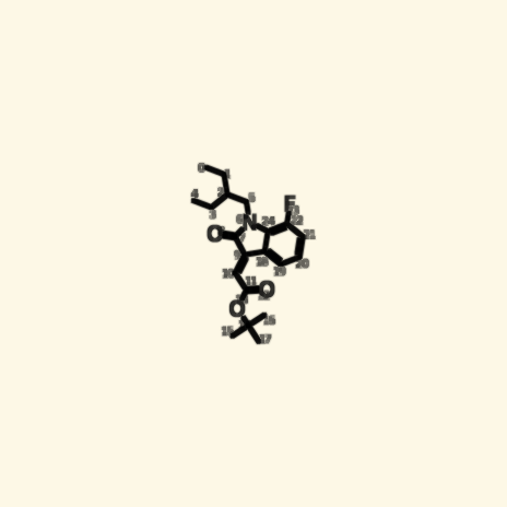 CCC(CC)CN1C(=O)/C(=C/C(=O)OC(C)(C)C)c2cccc(F)c21